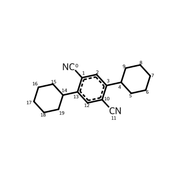 N#Cc1cc(C2CCCCC2)c(C#N)cc1C1CCCCC1